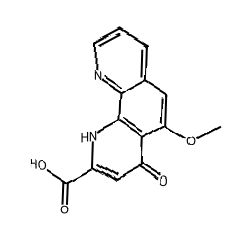 COc1cc2cccnc2c2[nH]c(C(=O)O)cc(=O)c12